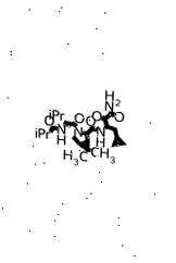 CC(C)C(=O)N[C@H](C(=O)N1CC2C(C1C(=O)NC(CC1CC1)C(=O)C(N)=O)C2(C)C)C(C)C